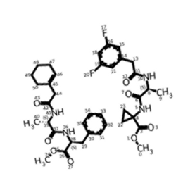 COC(=O)C1(NC(=O)[C@H](C)NC(=O)Cc2cc(F)cc(F)c2)CC1.COC(=O)[C@H](Cc1ccccc1)NC(=O)[C@H](C)NC(=O)CC1=CCCCC1